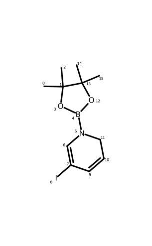 CC1(C)OB(N2C=C(I)C=CC2)OC1(C)C